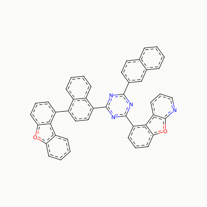 c1ccc2cc(-c3nc(-c4ccc(-c5cccc6oc7ccccc7c56)c5ccccc45)nc(-c4cccc5oc6ncccc6c45)n3)ccc2c1